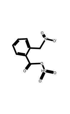 O=C(O[SH](=O)=O)c1ccccc1C[N+](=O)[O-]